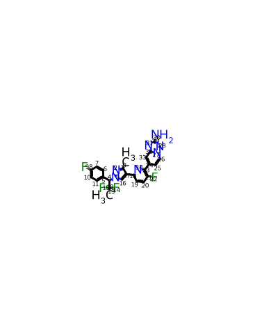 Cc1nn(C(c2ccc(F)cc2)C(C)(F)F)cc1-c1ccc(F)c(-c2ccn3nc(N)nc3c2)n1